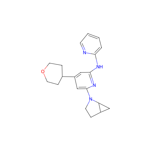 c1ccc(Nc2cc(C3CCOCC3)cc(N3CCC4CC43)n2)nc1